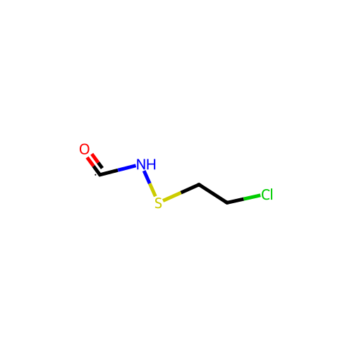 O=[C]NSCCCl